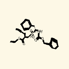 C#CCC(CP(=O)(O)[C@H](Cc1ccccc1)NC(=O)OCc1ccccc1)C(=O)OCC